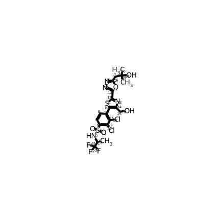 C[C@H](NS(=O)(=O)c1ccc(-c2sc(-c3nnc(CC(C)(C)O)o3)nc2CO)c(Cl)c1Cl)C(F)(F)F